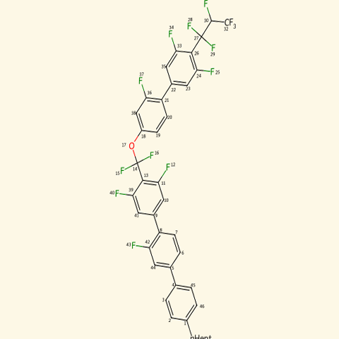 CCCCCCCc1ccc(-c2ccc(-c3cc(F)c(C(F)(F)Oc4ccc(-c5cc(F)c(C(F)(F)C(F)C(F)(F)F)c(F)c5)c(F)c4)c(F)c3)c(F)c2)cc1